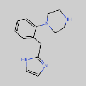 c1ccc(N2CCNCC2)c(Cc2ncc[nH]2)c1